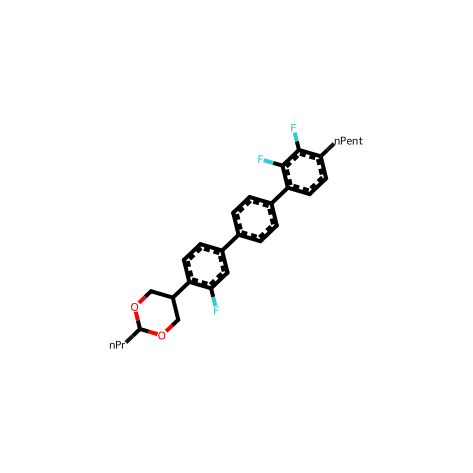 CCCCCc1ccc(-c2ccc(-c3ccc(C4COC(CCC)OC4)c(F)c3)cc2)c(F)c1F